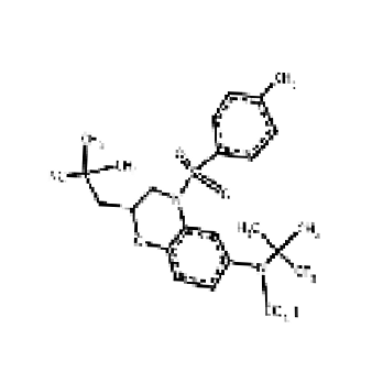 Cc1ccc(S(=O)(=O)N2C[C@H](CC(C)(C)C#N)Oc3ccc(N(C(=O)O)C(C)(C)C(F)(F)F)cc32)cc1